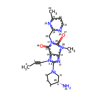 CC#Cn1c(N2CCC[C@@H](N)C2)nc2c1c(=O)n(Cc1nccc(C)n1)c(=O)n2C